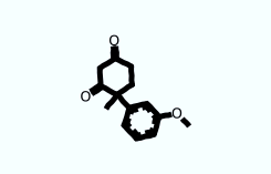 COc1cccc(C2(C)CCC(=O)CC2=O)c1